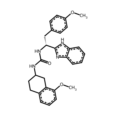 COc1ccc(C[C@@H](NC(=O)NC2CCc3cccc(OC)c3C2)c2nc3ccccc3[nH]2)cc1